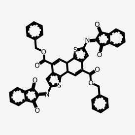 O=C(OCc1ccccc1)C1=CC2c3sc(N=c4c(=O)c5ccccc5c4=O)cc3C(C(=O)OCc3ccccc3)=CC2c2sc(N=c3c(=O)c4ccccc4c3=O)cc21